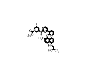 Cc1ccc2c(NCC(O)C(F)(F)F)cccc2c1Oc1ncccc1-c1ccnc(NC2CC(F)CN(C(=O)OC(C)(C)C)C2)n1